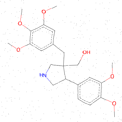 COc1ccc(C2CNCC2(CO)Cc2cc(OC)c(OC)c(OC)c2)cc1OC